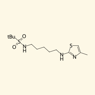 Cc1csc(NCCCCCNS(=O)(=O)C(C)(C)C)n1